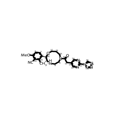 COc1ccc([C@@H]2CNCCN(C(=O)Cc3cnc(-n4cnnn4)nc3)CCCO2)c(C)c1C#N